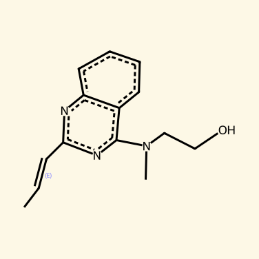 C/C=C/c1nc(N(C)CCO)c2ccccc2n1